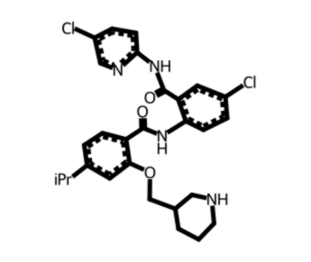 CC(C)c1ccc(C(=O)Nc2ccc(Cl)cc2C(=O)Nc2ccc(Cl)cn2)c(OCC2CCCNC2)c1